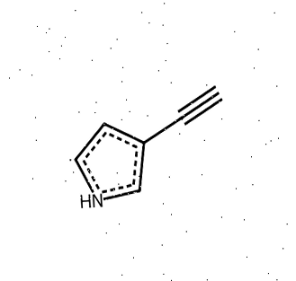 C#Cc1c[c][nH]c1